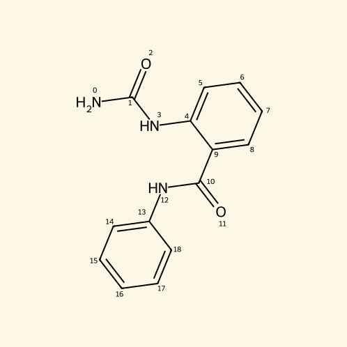 NC(=O)Nc1ccccc1C(=O)Nc1ccccc1